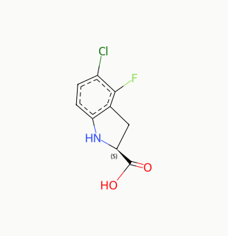 O=C(O)[C@@H]1Cc2c(ccc(Cl)c2F)N1